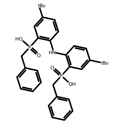 CC(C)(C)c1ccc(Nc2ccc(C(C)(C)C)cc2P(=O)(O)Cc2ccccc2)c(P(=O)(O)Cc2ccccc2)c1